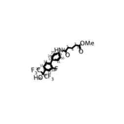 COC(=O)CCCC(=O)Nc1ccc(-c2ccc(C(O)(C(F)(F)F)C(F)(F)F)cc2F)cc1